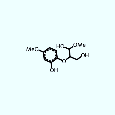 COc1ccc(OC(CO)C(O)OC)c(O)c1